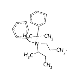 [CH2]CC[N+](Cc1ccccc1)(C(C)CC)C(C)(C)c1ccccc1